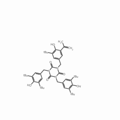 C=C(C)c1cc(Cn2c(=O)n(Cc3cc(C(C)(C)C)c(O)c(C(C)(C)C)c3)c(=O)n(Cc3cc(C(C)(C)C)c(O)c(C(C)(C)C)c3)c2=O)cc(C(C)(C)C)c1O